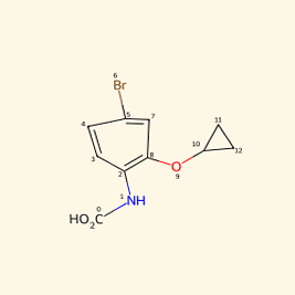 O=C(O)Nc1ccc(Br)cc1OC1CC1